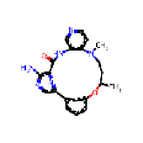 CC1CCN(C)c2ccncc2NC(=O)c2nc(cnc2N)-c2cccc(c2)O1